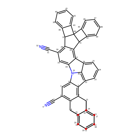 N#Cc1cc2c(c3c1C1c4ccccc4C3c3ccccc31)c1cccc3c4c5c(c(C#N)cc4n2c13)C1c2ccccc2C12c1ccccc1C52